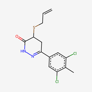 C=CCSC1CC(c2cc(Cl)c(C)c(Cl)c2)=NNC1=O